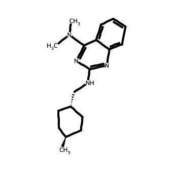 CN(C)c1nc(NC[C@H]2CC[C@H](C)CC2)nc2ccccc12